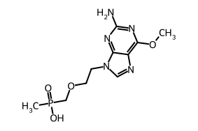 COc1nc(N)nc2c1ncn2CCOCP(C)(=O)O